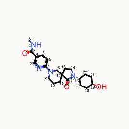 CNC(=O)c1ccc(N2CCCC3(CCN([C@H]4CC[C@H](O)CC4)C3=O)C2)nc1